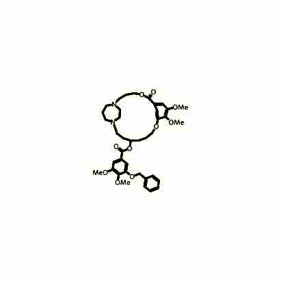 COc1cc2cc(c1OC)OCCCC(OC(=O)c1cc(OC)c(OC)c(OCc3ccccc3)c1)CCN1CCCN(CCCOC2=O)CC1